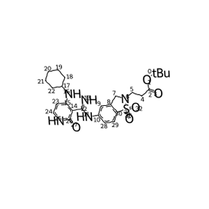 CC(C)(C)OC(=O)CCN1Cc2cc(NC(=N)c3c(NC4CCCCC4)cc[nH]c3=O)ccc2S1(=O)=O